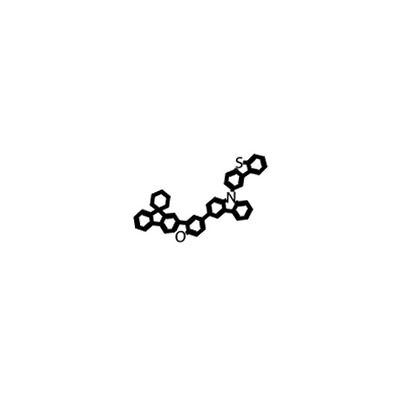 c1ccc2c(c1)-c1cc3oc4ccc(-c5ccc6c(c5)c5ccccc5n6-c5ccc6sc7ccccc7c6c5)cc4c3cc1C21CCCCC1